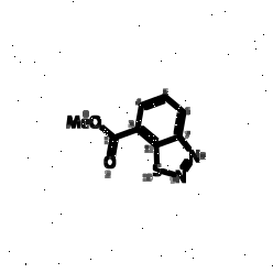 COC(=O)c1cccc2nnsc12